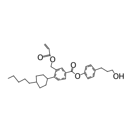 C=CC(=O)OCc1cc(C(=O)Oc2ccc(CCCO)cc2)ccc1C1CCC(CCCCC)CC1